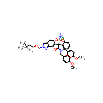 COc1ccc(CN(Cc2ccc(OC)cc2)C(=O)C(c2ccc3cn(COCC[Si](C)(C)C)nc3c2)(c2ccccc2Cl)S(N)(=O)=O)cc1